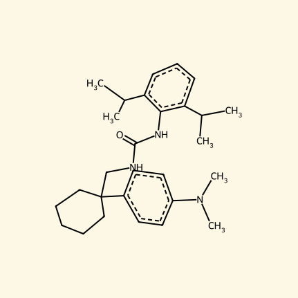 CC(C)c1cccc(C(C)C)c1NC(=O)NCC1(c2ccc(N(C)C)cc2)CCCCC1